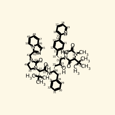 CN(C(=O)O)[C@H](C(=O)N[C@@H](Cc1ccc(-c2ccccn2)cc1)[C@@H](O)C[C@H](Cc1ccccc1)NC(=O)[C@@H](N1CCN(Cc2ncc3ccccn23)C1=O)C(C)(C)C)C(C)(C)C